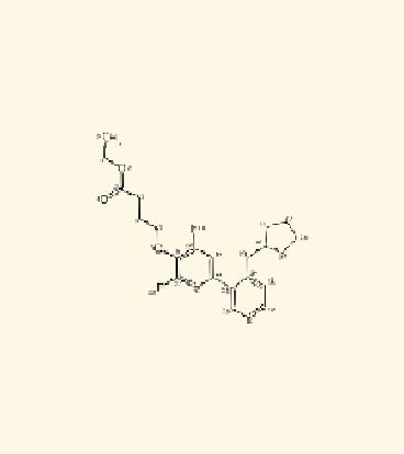 CCOC(=O)CCCOc1c(F)cc(-c2ccccc2CC2CCCC2)cc1F